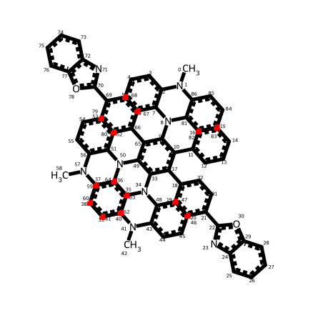 CN1c2ccccc2N(c2c(-c3ccccc3)c(-c3ccc(-c4nc5ccccc5o4)cc3)c(N3c4ccccc4N(C)c4ccccc43)c(N3c4ccccc4N(C)c4ccccc43)c2-c2ccc(-c3nc4ccccc4o3)cc2)c2ccccc21